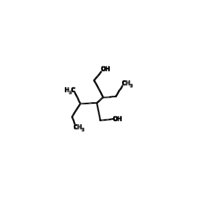 CCC(C)C(CO)C(CC)CO